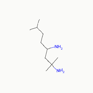 CC(C)CCC(N)CC(C)(C)N